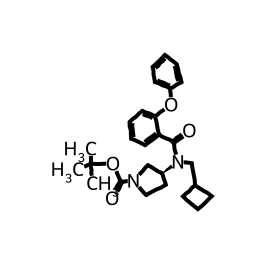 CC(C)(C)OC(=O)N1CC[C@H](N(CC2CCC2)C(=O)c2ccccc2Oc2ccccc2)C1